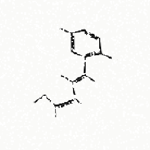 CCC(=C(\C)CCl)/C(C)=C(\C)c1cc(O)ccc1O